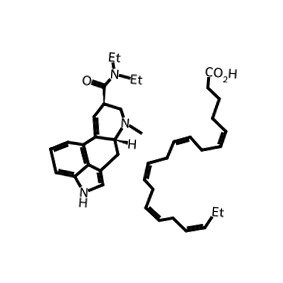 CC/C=C\C/C=C\C/C=C\C/C=C\C/C=C\CCCC(=O)O.CCN(CC)C(=O)[C@@H]1C=C2c3cccc4[nH]cc(c34)C[C@H]2N(C)C1